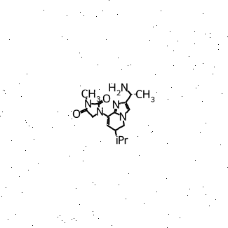 CC(C)C1C=C(N2CC(=O)N(C)C2=O)c2nc([C@@H](C)N)cn2C1